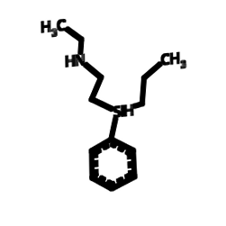 CCC[SiH](CCNCC)c1ccccc1